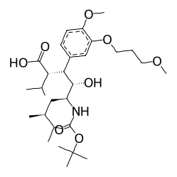 COCCCOc1cc(C([C@@H](C(=O)O)C(C)C)[C@H](O)[C@H](C[C@H](C)C(C)C)NC(=O)OC(C)(C)C)ccc1OC